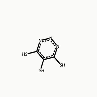 Sc1nnnc(S)c1S